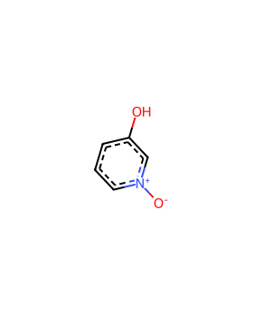 [O-][n+]1cccc(O)c1